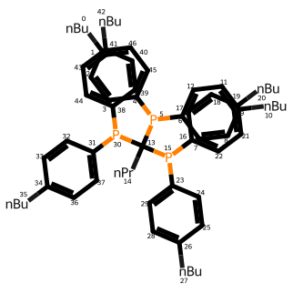 CCCCc1ccc(P(c2ccc(CCCC)cc2)C(CCC)(P(c2ccc(CCCC)cc2)c2ccc(CCCC)cc2)P(c2ccc(CCCC)cc2)c2ccc(CCCC)cc2)cc1